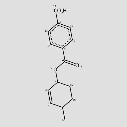 CC1C=CC(OC(=O)c2ccc(C(=O)O)cc2)CC1